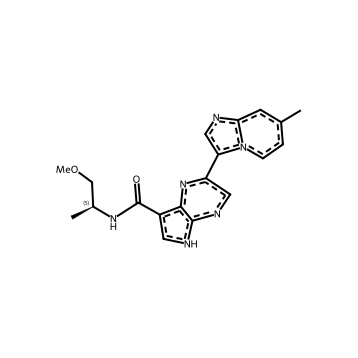 COC[C@H](C)NC(=O)c1c[nH]c2ncc(-c3cnc4cc(C)ccn34)nc12